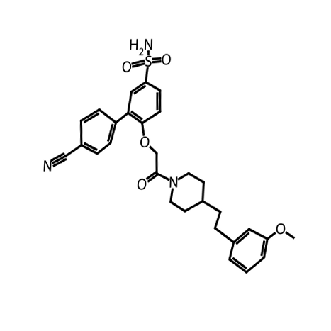 COc1cccc(CCC2CCN(C(=O)COc3ccc(S(N)(=O)=O)cc3-c3ccc(C#N)cc3)CC2)c1